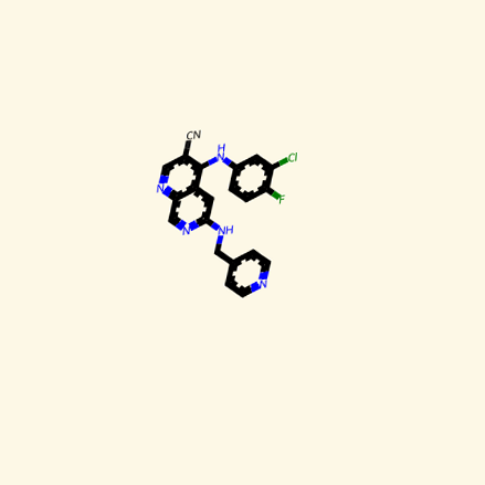 N#Cc1cnc2cnc(NCc3ccncc3)cc2c1Nc1ccc(F)c(Cl)c1